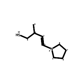 CC(C=CN1CCCC1)CS